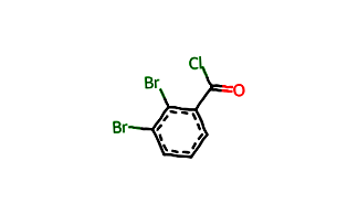 O=C(Cl)c1cccc(Br)c1Br